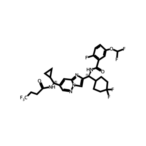 O=C(CCC(F)(F)F)N[C@@H](c1cnn2cc([C@@H](NC(=O)c3cc(OC(F)F)ccc3F)C3CCC(F)(F)CC3)nc2c1)C1CC1